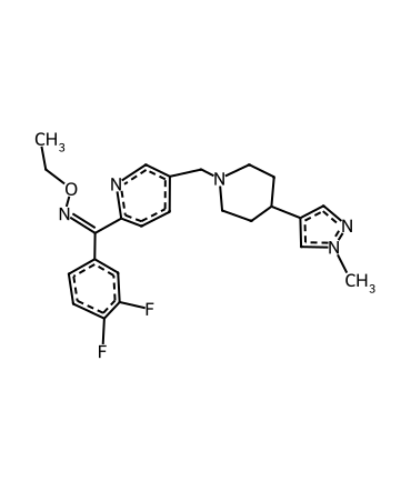 CCON=C(c1ccc(F)c(F)c1)c1ccc(CN2CCC(c3cnn(C)c3)CC2)cn1